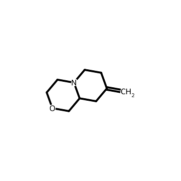 C=C1CCN2CCOCC2C1